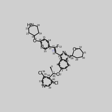 C[C@@H](Oc1ccc2c(c1)c(/C=C(\F)c1ccc(OC3CCNCC3)nc1)nn2C1CCCCO1)c1c(Cl)cncc1Cl